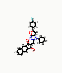 O=C1C(=Cc2nc3oc(-c4ccc(F)cc4)cc3n2-c2ccccc2)C(=O)c2cc3ccccc3cc21